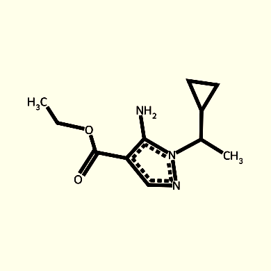 CCOC(=O)c1cnn(C(C)C2CC2)c1N